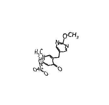 COc1ncc(Cc2cn(C)c(N[N+](=O)[O-])cc2=O)cn1